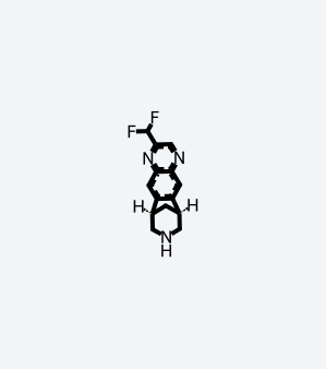 FC(F)c1cnc2cc3c(cc2n1)[C@@H]1CNC[C@H]3C1